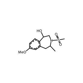 COc1ccc2c(c1)CC(C)N(S(C)(=O)=O)CC2O